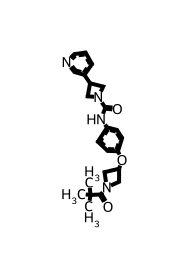 CC(C)(C)C(=O)N1CC(Oc2ccc(NC(=O)N3CC(c4cccnc4)C3)cc2)C1